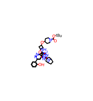 CC(C)(C)OC(=O)N1CCC(OC2CC(Oc3cnc(N4C5CCC4CC(n4nc(N)c6nnc(-c7ccccc7O)cc64)C5)nc3)C2)CC1